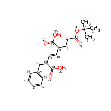 CC(C)(C)OC(=O)CC[C@@H](/C=C/[C@H](Cc1ccccc1)C(=O)O)C(=O)O